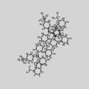 CC(C)c1cccc2c1oc1c(N(c3ccc([Si](C)(C)C)cc3)c3ccc4c(c3)C3(c5ccccc5-c5cc6c7ccccc7c7ccccc7c6cc53)c3cc(N(c5ccc([Si](C)(C)C)cc5)c5cccc6c5oc5c(C(C)C)cccc56)ccc3-4)cccc12